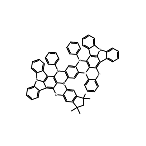 CC1(C)CC(C)(C)c2cc3c(cc21)Oc1c2c(c4c5ccccc5n5c6ccccc6c1c45)N(c1ccccc1)c1cc4c(cc1B32)B1c2ccccc2Oc2c1c(c1c3ccccc3n3c5ccccc5c2c13)N4c1ccccc1